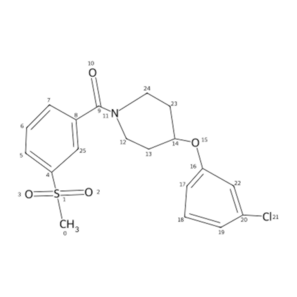 CS(=O)(=O)c1cccc(C(=O)N2CCC(Oc3cccc(Cl)c3)CC2)c1